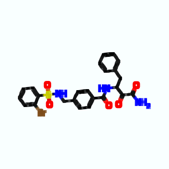 NC(=O)C(=O)C(Cc1ccccc1)NC(=O)c1ccc(CNS(=O)(=O)c2ccccc2Br)cc1